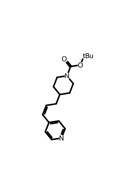 CC(C)(C)OC(=O)N1CCC(C/C=C\c2ccncc2)CC1